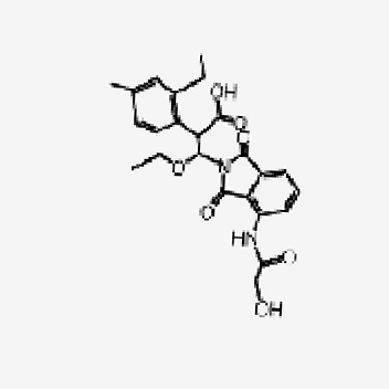 CCOC(C(C(=O)O)c1ccc(C)cc1CC)N1C(=O)c2cccc(NC(=O)CO)c2C1=O